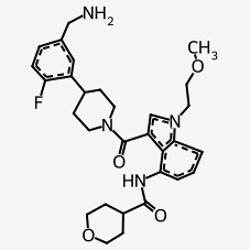 COCCn1cc(C(=O)N2CCC(c3cc(CN)ccc3F)CC2)c2c(NC(=O)C3CCOCC3)cccc21